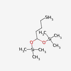 C[Si](C)(C)OC(CCC[SiH3])O[Si](C)(C)C